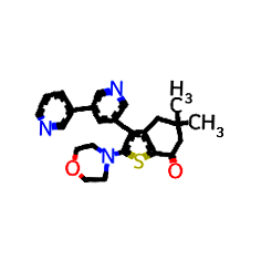 CC1(C)CC(=O)c2sc(N3CCOCC3)c(-c3cncc(-c4cccnc4)c3)c2C1